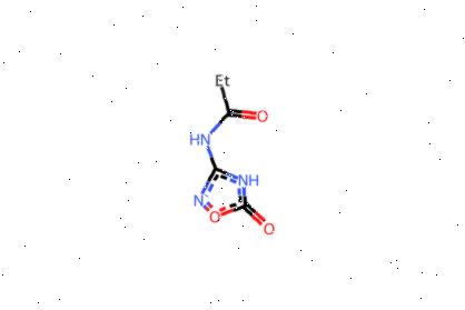 CCC(=O)Nc1noc(=O)[nH]1